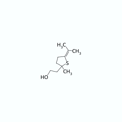 CC(C)=C1CCC(C)(CCO)S1